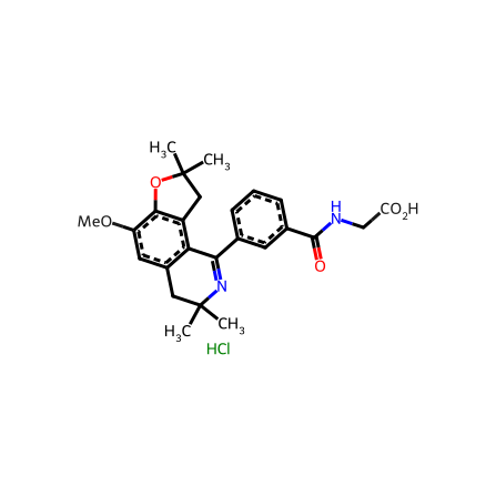 COc1cc2c(c3c1OC(C)(C)C3)C(c1cccc(C(=O)NCC(=O)O)c1)=NC(C)(C)C2.Cl